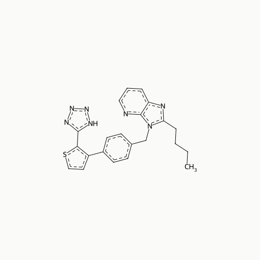 CCCCc1nc2cccnc2n1Cc1ccc(-c2ccsc2-c2nnn[nH]2)cc1